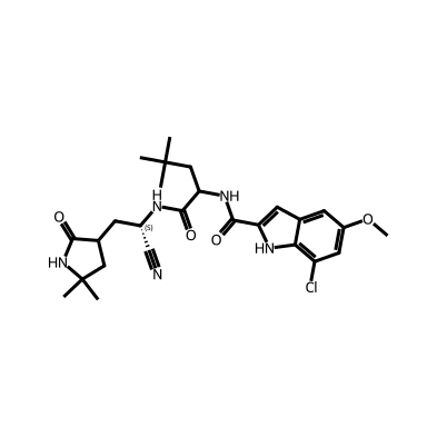 COc1cc(Cl)c2[nH]c(C(=O)NC(CC(C)(C)C)C(=O)N[C@H](C#N)CC3CC(C)(C)NC3=O)cc2c1